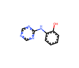 Oc1ccccc1Nc1ncncn1